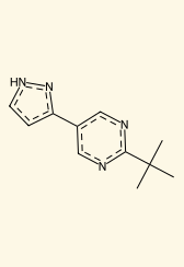 CC(C)(C)c1ncc(-c2cc[nH]n2)cn1